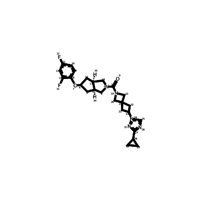 O=C(N1C[C@H]2CC(Oc3ccc(F)cc3F)C[C@H]2C1)N1CC2(CC(n3cnc(C4CC4)n3)C2)C1